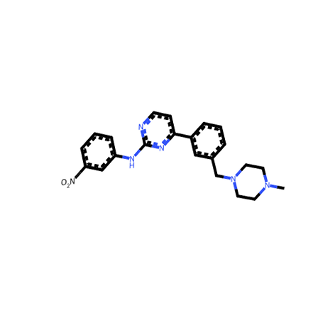 CN1CCN(Cc2cccc(-c3ccnc(Nc4cccc([N+](=O)[O-])c4)n3)c2)CC1